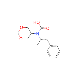 CC(Cc1ccccc1)N(C(=O)O)C1COCOC1